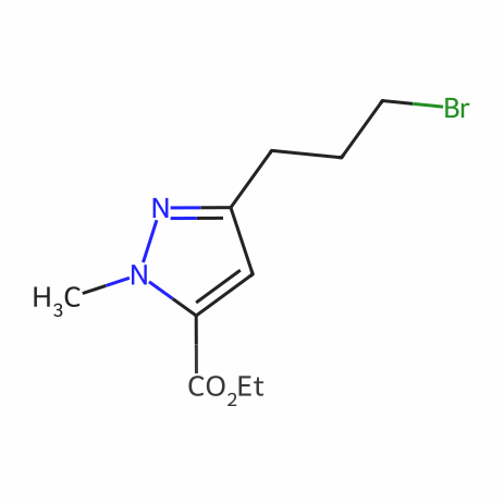 CCOC(=O)c1cc(CCCBr)nn1C